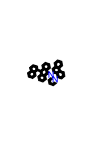 c1ccc(N(c2c3ccccc3c(-c3cccc4ccccc34)c3ccccc23)c2cc3ccccc3c3ccccc23)nc1